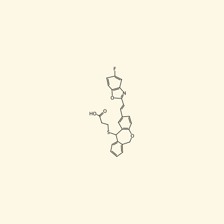 O=C(O)CCSC1c2ccccc2COc2ccc(C=Cc3nc4cc(F)ccc4o3)cc21